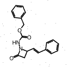 O=C(NN1C(=O)CC1C=Cc1ccccc1)OCc1ccccc1